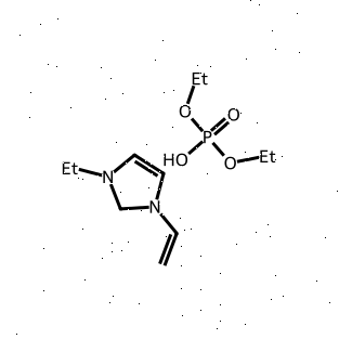 C=CN1C=CN(CC)C1.CCOP(=O)(O)OCC